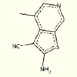 N#Cc1c(N)sc2cncc(I)c12